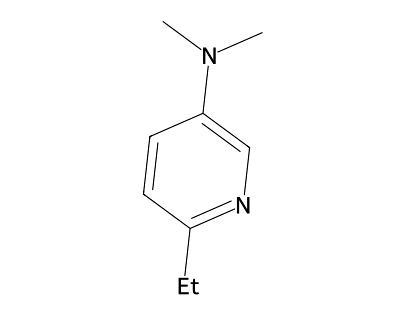 CCc1ccc(N(C)C)cn1